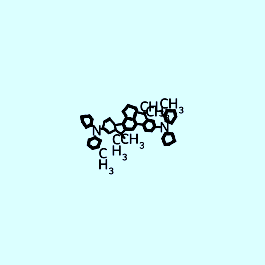 Cc1cccc(N(C2=CC3C(C=C2)c2c(cc4c5c(cccc25)C(C)(C)c2cc(N(c5ccccc5)c5cccc(C)c5)ccc2-4)C3(C)C)c2ccccc2)c1